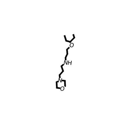 CCC(CC)OCCCNCCCN1CCOCC1